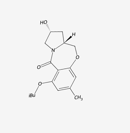 CCC(C)Oc1cc(C)cc2c1C(=O)N1C[C@H](O)C[C@@H]1CO2